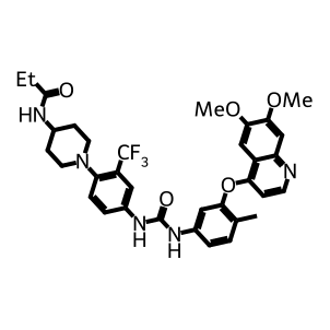 CCC(=O)NC1CCN(c2ccc(NC(=O)Nc3ccc(C)c(Oc4ccnc5cc(OC)c(OC)cc45)c3)cc2C(F)(F)F)CC1